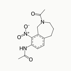 CC(=O)Nc1ccc2c(c1[N+](=O)[O-])CN(C(C)=O)CCC2